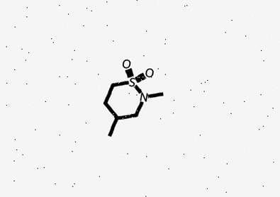 CC1CCS(=O)(=O)N(C)C1